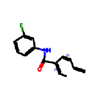 C=C/C=C\C(=C/C)C(=O)Nc1cccc(F)c1